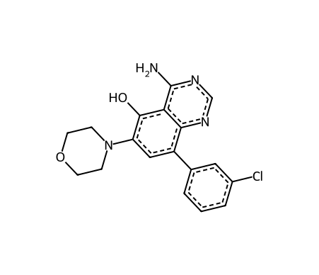 Nc1ncnc2c(-c3cccc(Cl)c3)cc(N3CCOCC3)c(O)c12